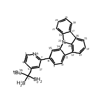 BC(B)(c1ccnc(-c2ccc3c4cccc5c6ccccc6n(c3c2)c54)c1)C(C)(C)C